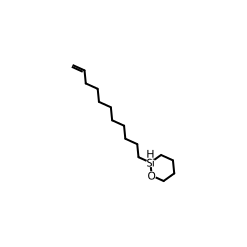 C=CCCCCCCCCC[SiH]1CCCCO1